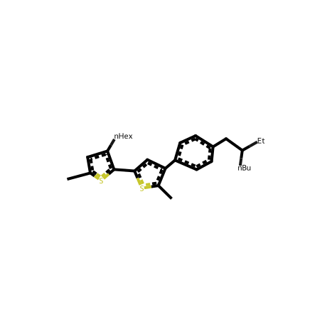 CCCCCCc1cc(C)sc1-c1cc(-c2ccc(CC(CC)CCCC)cc2)c(C)s1